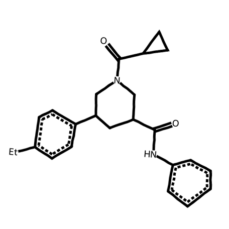 CCc1ccc(C2CC(C(=O)Nc3ccccc3)CN(C(=O)C3CC3)C2)cc1